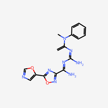 C=C(/N=C(N)\N=C(/N)c1noc(-c2cnco2)n1)N(C)c1ccccc1